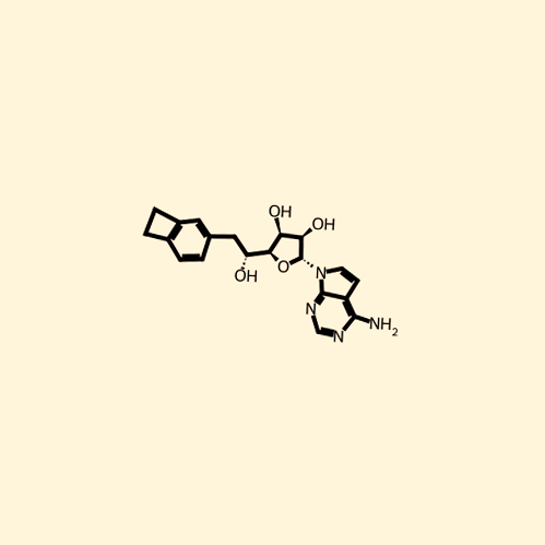 Nc1ncnc2c1ccn2[C@@H]1O[C@@H]([C@H](O)Cc2ccc3c(c2)CC3)[C@@H](O)[C@H]1O